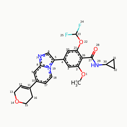 COc1cc(-c2cnc3cc(C4=CCOCC4)ccn23)cc(OC(F)F)c1C(=O)NC1CC1